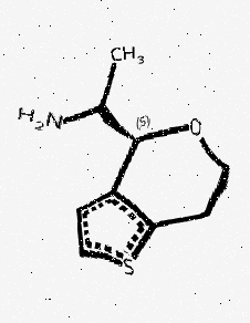 CC(N)[C@H]1OCCc2sccc21